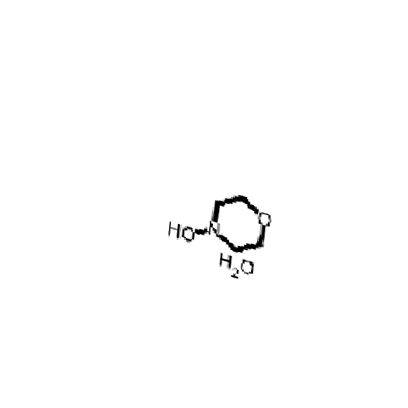 O.ON1CCOCC1